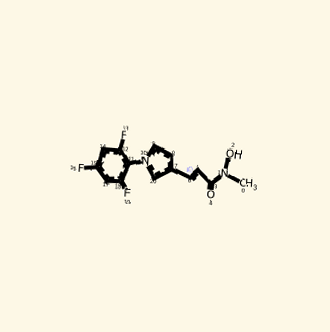 CN(O)C(=O)/C=C/c1ccn(-c2c(F)cc(F)cc2F)c1